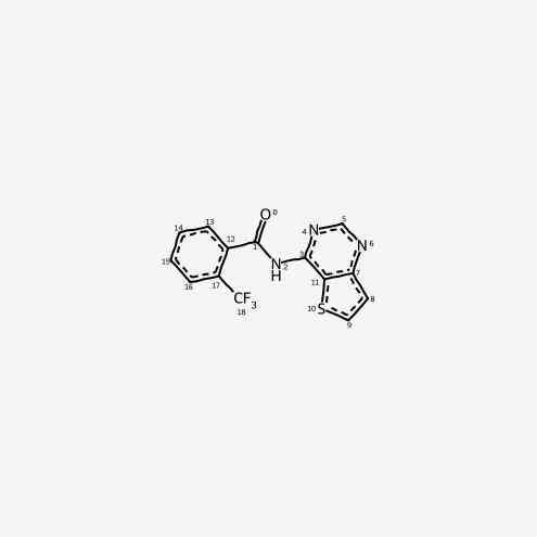 O=C(Nc1ncnc2ccsc12)c1ccccc1C(F)(F)F